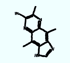 Cc1nc2c(C)c3nc[nH]c3c(C)c2nc1C(C)C